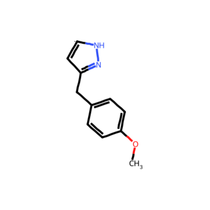 COc1ccc(Cc2c[c][nH]n2)cc1